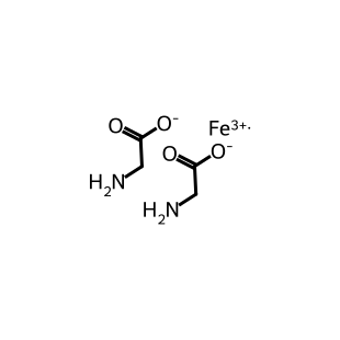 NCC(=O)[O-].NCC(=O)[O-].[Fe+3]